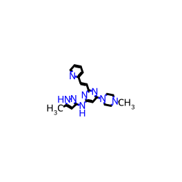 Cc1cc(Nc2cc(N3CCN(C)CC3)nc(/C=C/c3ccccn3)n2)n[nH]1